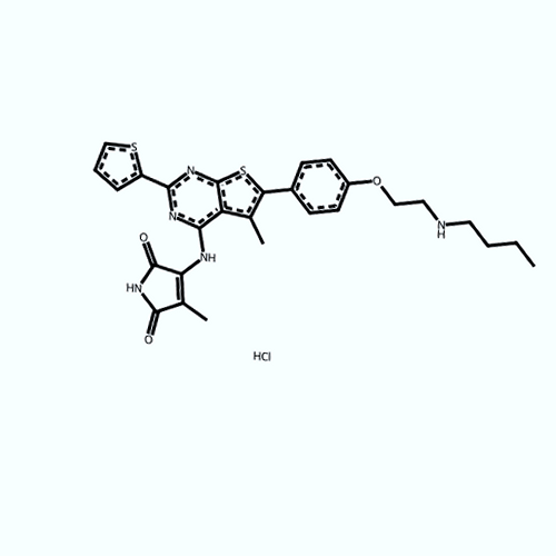 CCCCNCCOc1ccc(-c2sc3nc(-c4cccs4)nc(NC4=C(C)C(=O)NC4=O)c3c2C)cc1.Cl